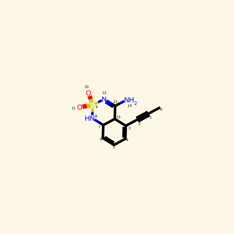 CC#CC1=CC=CC2NS(=O)(=O)N=C(N)C12